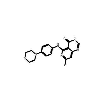 O=c1[nH]cnc2cc(Cl)nc(Nc3ccc(N4CCOCC4)cc3)c12